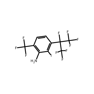 Nc1c(C(F)(F)F)ccc(C(F)(C(F)(F)F)C(F)(F)F)c1I